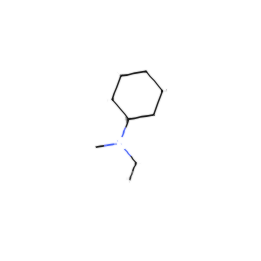 CN(CC(=O)O)C1CCCCC1